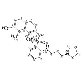 CC1=CCc2ccc(NS(=O)(=O)c3ccccc3NCCCN3CCCC3)c(C(=O)O)c2C1C